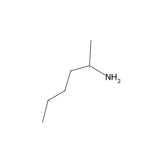 CCCC[C](C)N